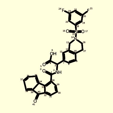 O=C(NC(C(=O)O)c1ccc2c(c1)CN(S(=O)(=O)c1cc(F)cc(F)c1)CC2)c1cccc2c1-c1ccccc1C2=O